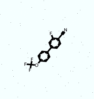 N#Cc1ccc(-c2ccc(OC(F)(F)F)cc2)cc1F